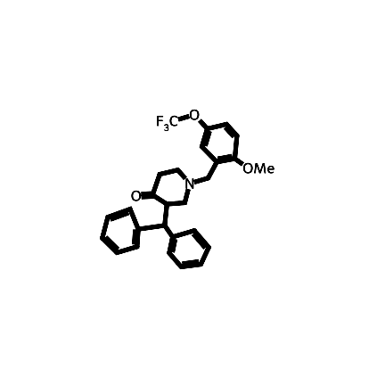 COc1ccc(OC(F)(F)F)cc1CN1CCC(=O)C(C(c2ccccc2)c2ccccc2)C1